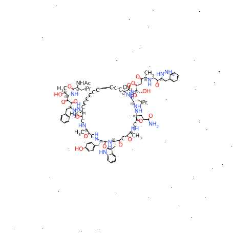 CC(=O)N[C@@H](CC(C)C)C(=O)N[C@H](C(=O)C(=O)[C@H](Cc1ccccc1)NN[C@]1(C)CCCCCCC=CCCC[C@@](C)(C(=O)N[C@@H](CO)C(=O)CC(=O)[C@H](C)NCC(=O)[C@H](Cc2ccccc2)NN)NC(=O)[C@H](CC(C)C)NN[C@@H](CCC(N)=O)C(=O)CN[C@@H](C)C(=O)CC(=O)[C@H](Cc2c[nH]c3ccccc23)NC(=O)[C@H](Cc2ccc(O)cc2)NCC(=O)[C@H](C)NCC1=O)[C@@H](C)O